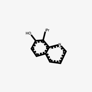 CC(C)c1c(O)ccc2cccnc12